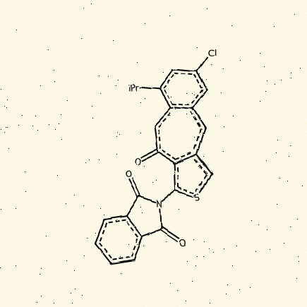 CC(C)c1cc(Cl)cc2cc3csc(N4C(=O)c5ccccc5C4=O)c3c(=O)cc12